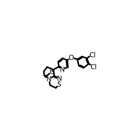 Clc1ccc(Oc2ccc(C34CCC(CC3)N3CCSN=C34)nc2)cc1Cl